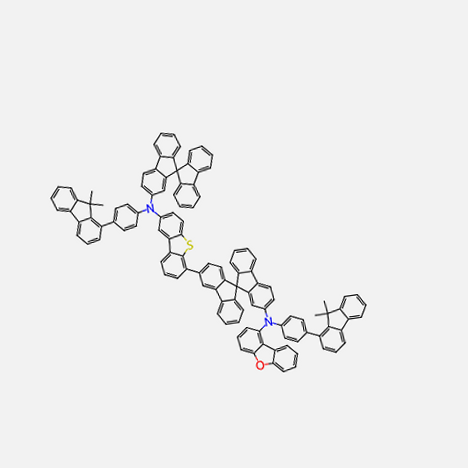 CC1(C)c2ccccc2-c2cccc(-c3ccc(N(c4ccc5c(c4)C4(c6ccccc6-c6ccccc64)c4ccccc4-5)c4ccc5sc6c(-c7ccc8c(c7)-c7ccccc7C87c8ccccc8-c8ccc(N(c9ccc(-c%10cccc%11c%10C(C)(C)c%10ccccc%10-%11)cc9)c9cccc%10oc%11ccccc%11c9%10)cc87)cccc6c5c4)cc3)c21